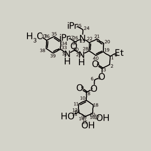 CCC(CC(=O)OCOC(=O)C1=C[C@H](O)[C@@H](O)[C@@H](O)C1)c1ccc(N(CC(C)C)CC(C)C)c(NC(=O)Nc2ccc(C)cc2)c1